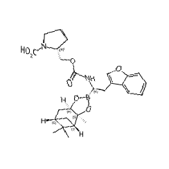 CC1(C)[C@@H]2C[C@H]3OB([C@H](Cc4coc5ccccc45)NC(=O)OC[C@H]4CCCN4C(=O)O)O[C@@]3(C)[C@H]1C2